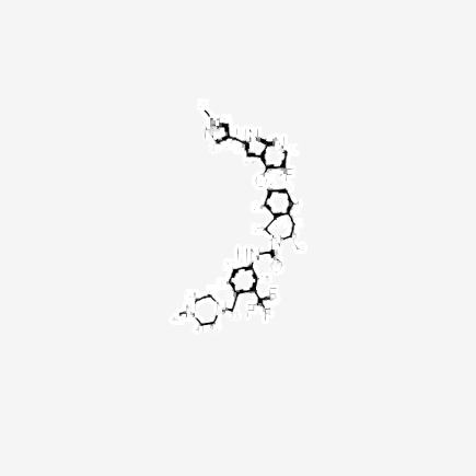 C[C@@H]1Cc2ccc(Oc3c(F)cnc4[nH]c(-c5cnn(C)c5)cc34)cc2CN1C(=O)Nc1ccc(CN2CCN(C)CC2)c(C(F)(F)F)c1